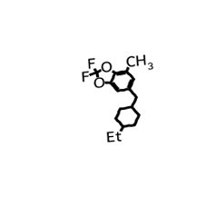 CCC1CCC(Cc2cc(C)c3c(c2)OC(F)(F)O3)CC1